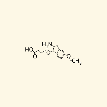 CCOc1ccc2c(c1)CC(N)C2OCCCC(=O)O